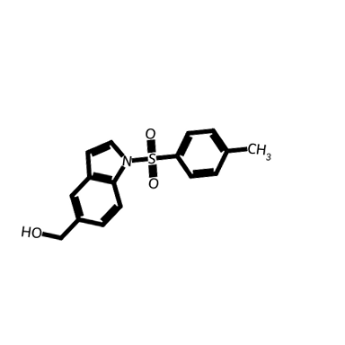 Cc1ccc(S(=O)(=O)n2ccc3cc(CO)ccc32)cc1